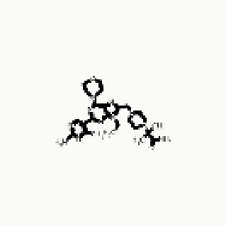 CCn1c(CN2CCN(C(C)(C)C(N)=O)CC2)nc2c(N3CCOCC3)nc(-c3cnc(N)nc3C)nc21